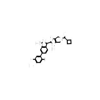 CCc1cc(O)c(F)cc1-c1ccc2c(-c3nc4c([nH]3)CN(C(=O)C3CCC3)C4)n[nH]c2c1